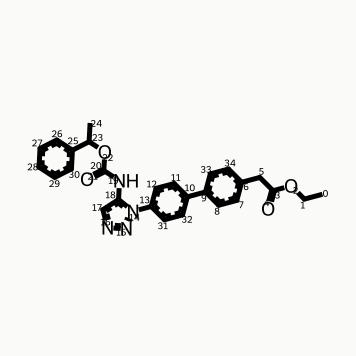 CCOC(=O)Cc1ccc(-c2ccc(-n3nncc3NC(=O)OC(C)c3ccccc3)cc2)cc1